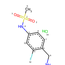 CS(=O)(=O)Nc1ccc(CN)c(F)c1.Cl